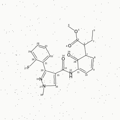 CCC(C(=O)OC)C1C=CC=C(NC(=O)c2cn(C)nc2-c2ccccc2F)C1=O